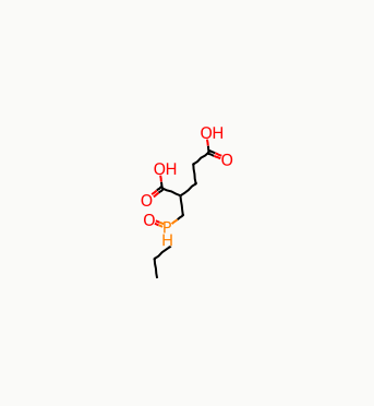 CCC[PH](=O)CC(CCC(=O)O)C(=O)O